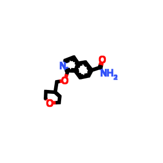 NC(=O)c1ccc2c(OCC3CCOCC3)nccc2c1